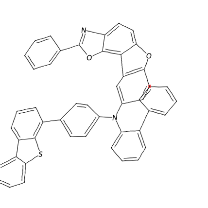 c1ccc(-c2nc3ccc4oc5ccc(N(c6ccc(-c7cccc8c7sc7ccccc78)cc6)c6ccccc6-c6ccccc6)cc5c4c3o2)cc1